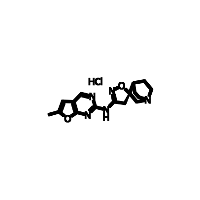 Cc1cc2cnc(NC3=NO[C@@]4(C3)CN3CCC4CC3)nc2o1.Cl